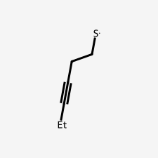 CCC#CCC[S]